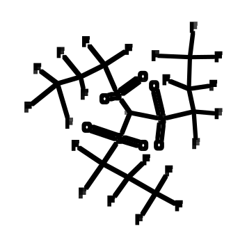 O=S(=O)([C](S(=O)(=O)C(F)(F)C(F)(F)C(F)(F)F)S(=O)(=O)C(F)(F)C(F)(F)C(F)(F)F)C(F)(F)C(F)(F)C(F)(F)F